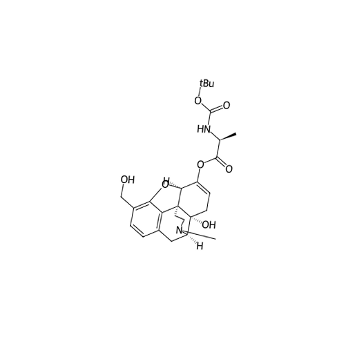 C[C@H](NC(=O)OC(C)(C)C)C(=O)OC1=CC[C@@]2(O)[C@H]3Cc4ccc(CO)c5c4[C@@]2(CCN3C)[C@H]1O5